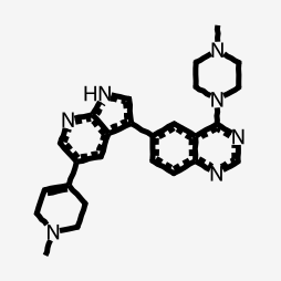 CN1CC=C(c2cnc3[nH]cc(-c4ccc5ncnc(N6CCN(C)CC6)c5c4)c3c2)CC1